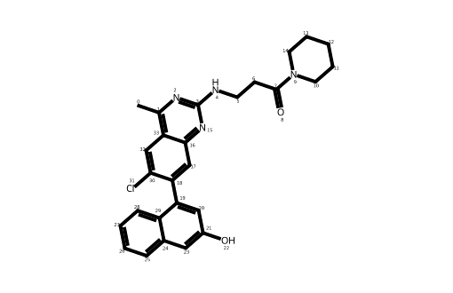 Cc1nc(NCCC(=O)N2CCCCC2)nc2cc(-c3cc(O)cc4ccccc34)c(Cl)cc12